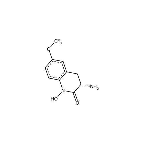 N[C@H]1Cc2cc(OC(F)(F)F)ccc2N(O)C1=O